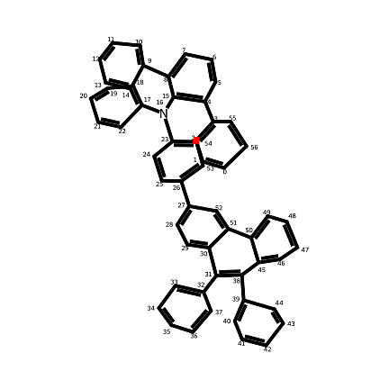 c1ccc(-c2cccc(-c3ccccc3)c2N(c2ccccc2)c2ccc(-c3ccc4c(-c5ccccc5)c(-c5ccccc5)c5ccccc5c4c3)cc2)cc1